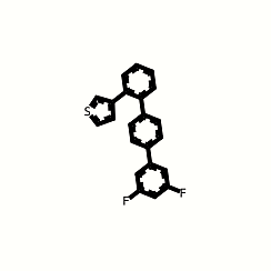 Fc1cc(F)cc(-c2ccc(-c3ccccc3-c3ccsc3)cc2)c1